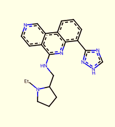 CCN1CCCC1CNc1nc2c(-c3nc[nH]n3)cccc2c2cnccc12